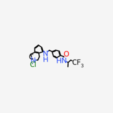 CC(CC(F)(F)F)NC(=O)c1ccc(CNc2cccc3c2CCN(Cl)CC3)cc1